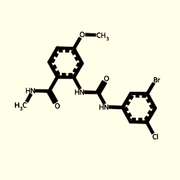 CNC(=O)c1ccc(OC)cc1NC(=O)Nc1cc(Cl)cc(Br)c1